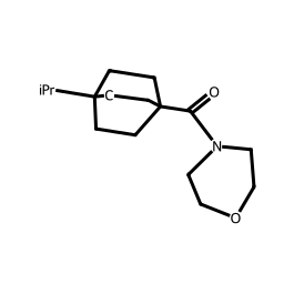 CC(C)C12CCC(C(=O)N3CCOCC3)(CC1)CC2